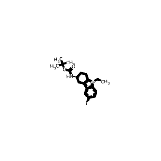 CCn1c2c(c3cc(F)ccc31)C[C@@H](NC(=O)OC(C)(C)C)CC2